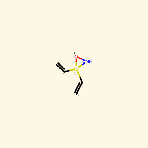 C=CS1(C=C)NO1